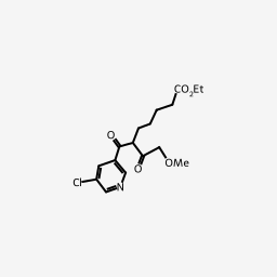 CCOC(=O)CCCCC(C(=O)COC)C(=O)c1cncc(Cl)c1